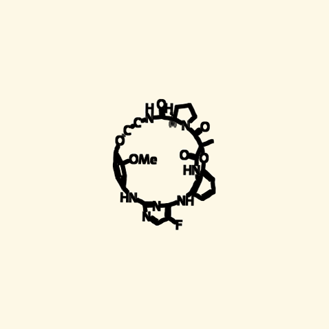 COc1cc2ccc1OCCNC(=O)[C@H]1CCCN1C(=O)C1(C)Oc3cccc(c3NC1=O)Nc1nc(ncc1F)N2